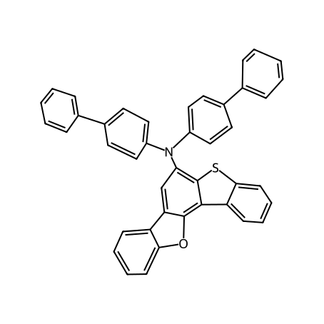 c1ccc(-c2ccc(N(c3ccc(-c4ccccc4)cc3)c3cc4c5ccccc5oc4c4c3sc3ccccc34)cc2)cc1